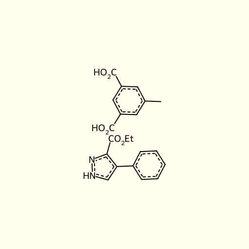 CCOC(=O)c1n[nH]cc1-c1ccccc1.Cc1cc(C(=O)O)cc(C(=O)O)c1